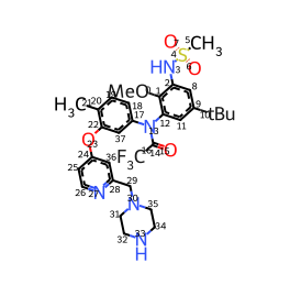 COc1c(NS(C)(=O)=O)cc(C(C)(C)C)cc1N(C(=O)C(F)(F)F)c1ccc(C)c(Oc2ccnc(CN3CCNCC3)c2)c1